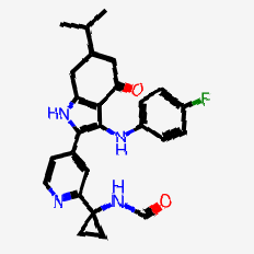 CC(C)C1CC(=O)c2c([nH]c(-c3ccnc(C4(NC=O)CC4)c3)c2Nc2ccc(F)cc2)C1